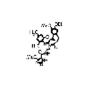 CCOc1cc2c(cc1OC)-c1c/c(=N\c3c(C)cc(C)cc3C)n(CCNC(=O)c3[nH]nnc3OC)c(=O)n1CC2